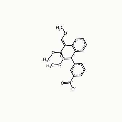 CO/C=C(/C(=O)OC)c1ccccc1/C(=N/OC)c1cccc([N+](=O)[O-])c1